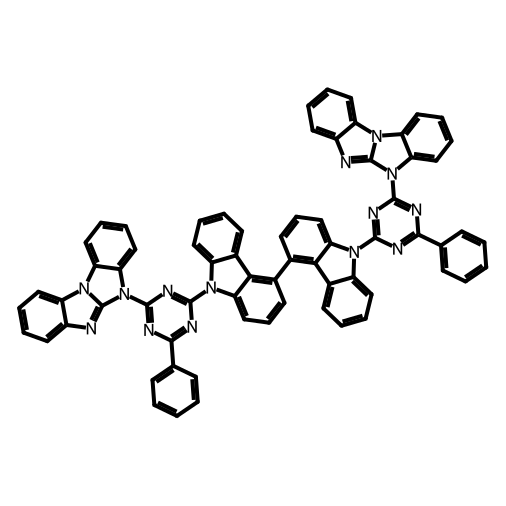 c1ccc(-c2nc(-n3c4ccccc4c4c(-c5cccc6c5c5ccccc5n6-c5nc(-c6ccccc6)nc(-n6c7ccccc7n7c8ccccc8nc67)n5)cccc43)nc(-n3c4ccccc4n4c5ccccc5nc34)n2)cc1